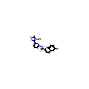 CC(C)n1cnnc1-c1cccc(NC(=O)c2ccc3cc(Br)ccc3n2)n1